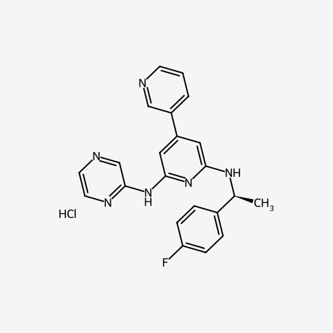 C[C@H](Nc1cc(-c2cccnc2)cc(Nc2cnccn2)n1)c1ccc(F)cc1.Cl